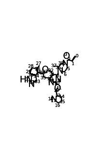 C=CC(=O)N1CCN(c2nc(OCC3CCCN3C)nc3c2COC(c2c(C)ccc4[nH]ncc24)C3)[C@@H](C)C1